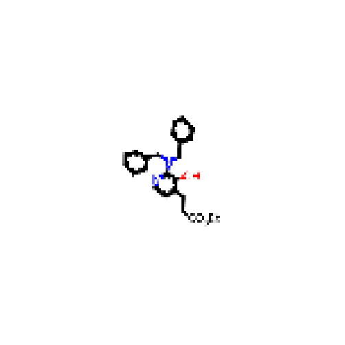 CCOC(=O)CCc1ccnc(N(Cc2ccccc2)Cc2ccccc2)c1O